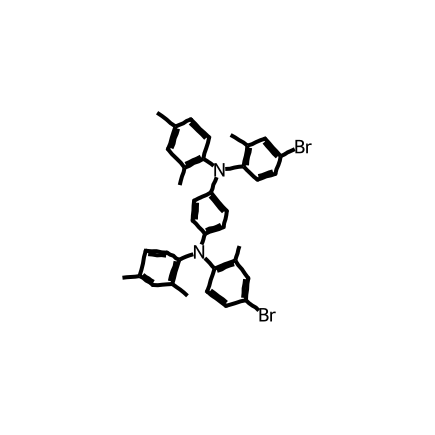 Cc1ccc(N(c2ccc(N(c3ccc(C)cc3C)c3ccc(Br)cc3C)cc2)c2ccc(Br)cc2C)c(C)c1